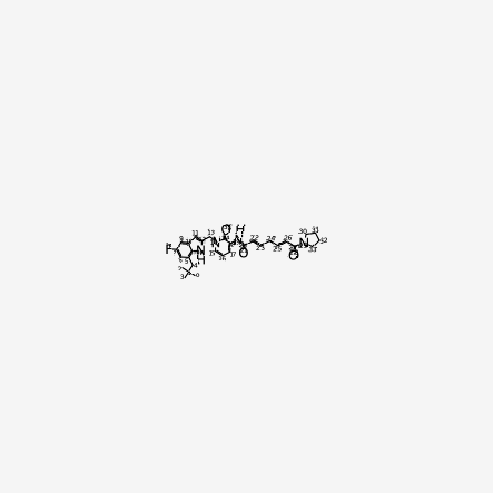 CC(C)(C)Cc1cc(F)cc2cc(Cn3cccc(NC(=O)CCC/C=C/C(=O)N4CCCC4)c3=O)[nH]c12